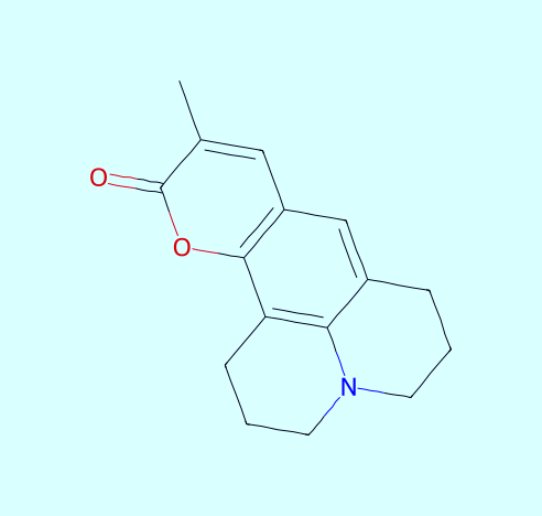 Cc1cc2cc3c4c(c2oc1=O)CCCN4CCC3